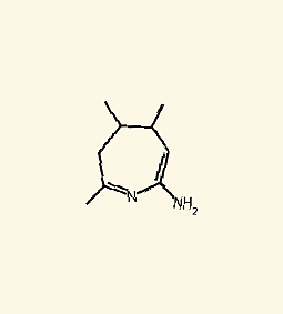 CC1=NC(N)=CC(C)C(C)C1